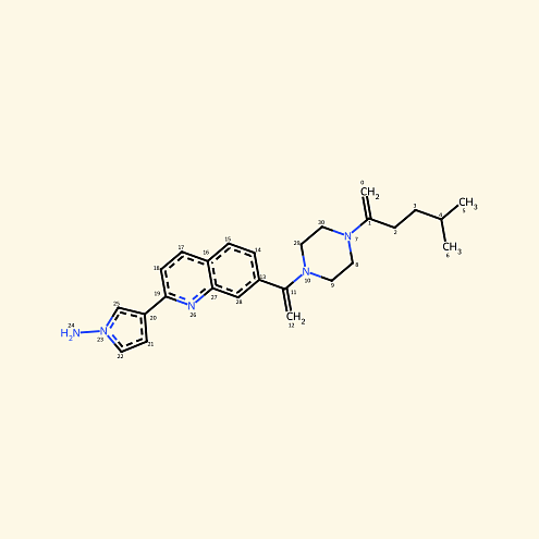 C=C(CCC(C)C)N1CCN(C(=C)c2ccc3ccc(-c4ccn(N)c4)nc3c2)CC1